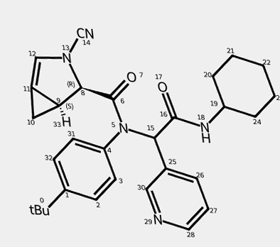 CC(C)(C)c1ccc(N(C(=O)[C@H]2[C@H]3CC3=CN2C#N)C(C(=O)NC2CCCCC2)c2cccnc2)cc1